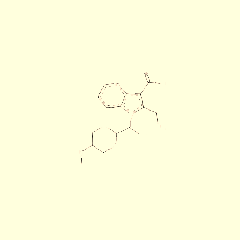 CCc1c(C(=O)O)c2ccccc2n1C(C)C1OCC(NC)CO1